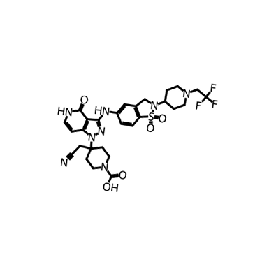 N#CCC1(n2nc(Nc3ccc4c(c3)CN(C3CCN(CC(F)(F)F)CC3)S4(=O)=O)c3c(=O)[nH]ccc32)CCN(C(=O)O)CC1